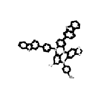 Cc1cc2c3c(c1)N(c1ccc(C(C)(C)C)cc1)c1cc4c(cc1B3c1cc(-c3ccc5c(c3)sc3ccccc35)ccc1N2c1ccc(-c2ccc3c(c2)sc2ccccc23)cc1)OCO4